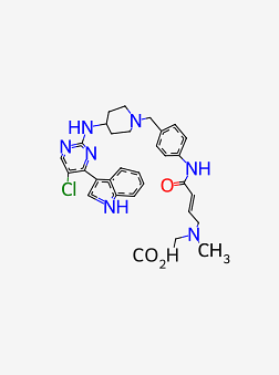 CN(CC=CC(=O)Nc1ccc(CN2CCC(Nc3ncc(Cl)c(-c4c[nH]c5ccccc45)n3)CC2)cc1)CC(=O)O